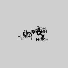 C[N+]1(C)CCO[C@@H](CC(=O)N2CC(Oc3ccc(C4C[C@H]4B(O)O)c(O)c3C(=O)O)C2)C1